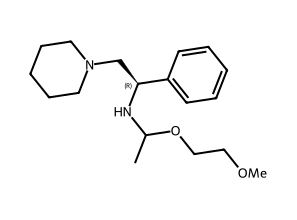 COCCOC(C)N[C@@H](CN1CCCCC1)c1ccccc1